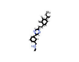 C=CNCc1cccc(-c2cnc(CCc3ccc(C(=C)CC(C)(C)C)c(C)c3C)cn2)c1